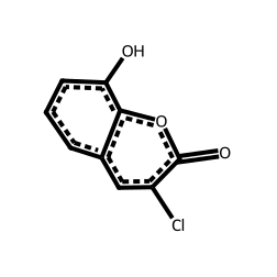 O=c1oc2c(O)cccc2cc1Cl